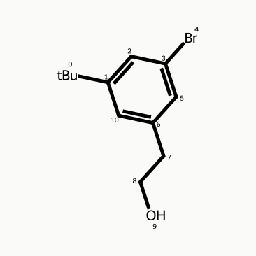 CC(C)(C)c1cc(Br)cc(CCO)c1